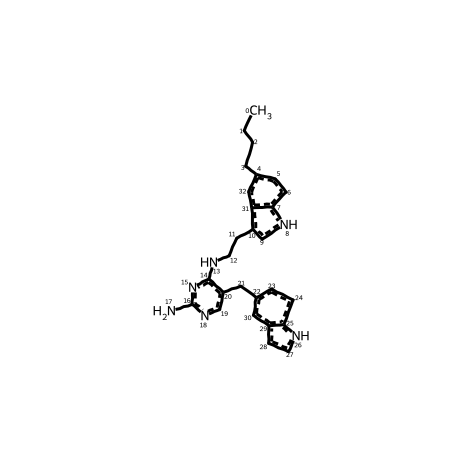 CCCCc1ccc2[nH]cc(CCNc3nc(N)ncc3Cc3ccc4[nH]ccc4c3)c2c1